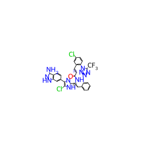 Nc1n[nH]c2cc(-c3nc([C@H](Cc4ccccc4)NC(=O)/C=C/c4cc(Cl)ccc4-n4nnnc4C(F)(F)F)[nH]c3Cl)ccc12